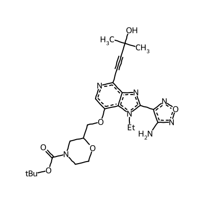 CCn1c(-c2nonc2N)nc2c(C#CC(C)(C)O)ncc(OCC3CN(C(=O)OC(C)(C)C)CCO3)c21